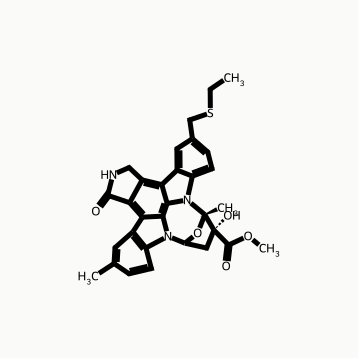 CCSCc1ccc2c(c1)c1c3c(c4c5cc(C)ccc5n5c4c1n2[C@@]1(C)OC5C[C@]1(O)C(=O)OC)C(=O)NC3